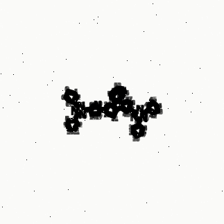 c1ccc(-c2nc(-c3ccccc3)nc(-c3ccc(-c4ccc5c(c4)C4(c6ccc(-c7nc(-c8ccccc8)nc(-c8ccccc8)n7)cc6-5)C5CC6CC(C5)CC4C6)nc3)n2)cc1